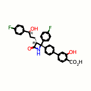 O=C(O)c1ccc(-c2ccc([C@@]3(c4ccc(F)cc4)NC(=O)[C@@H]3CC[C@H](O)c3ccc(F)cc3)cc2)cc1O